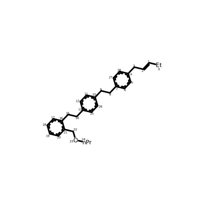 CC/C=C/Cc1ccc(CCc2ccc(CCc3ccccc3COCCC)cc2)cc1